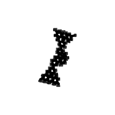 Cc1cc(C)c(B(c2ccc(-c3ccc4c(c3)[Si](C)(C)c3cccc5c3c-4cc3ccc(-c4ccc(B(c6c(C)cc(C)cc6C)c6c(C)cc(C)cc6C)cc4)cc35)cc2)c2c(C)cc(C)cc2C)c(C)c1